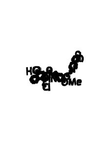 COc1cc2[nH]c(C(=O)N3C[C@@H](CCl)c4c3cc(O)c3ccccc43)cc2cc1OCCN1CCC2(CC1)CCS(=O)(=O)C2